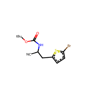 CC(C)(C)OC(=O)NC(C#N)Cc1ccc(Br)s1